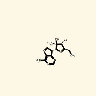 C[C@]1(O)[C@@H](C2CSc3c(N)ncnc32)O[C@H](CO)[C@H]1O